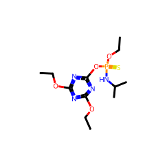 CCOc1nc(OCC)nc(OP(=S)(NC(C)C)OCC)n1